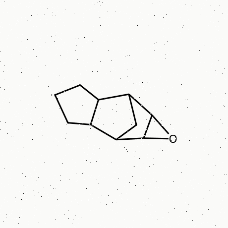 [CH]1CC2C(C1)C1CC2C2OC12